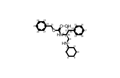 O=C(N[C@H](CNC1CCCCC1)[C@H](O)c1ccccc1)OCc1ccccc1